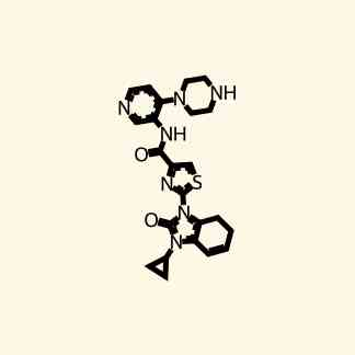 O=C(Nc1cnccc1N1CCNCC1)c1csc(-n2c3c(n(C4CC4)c2=O)C=CCC3)n1